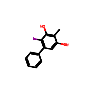 Cc1c(O)cc(-c2ccccc2)c(I)c1O